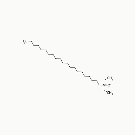 CCCCCCCCCCCCCCCCCCCCC[N+]([O-])(CC)CC